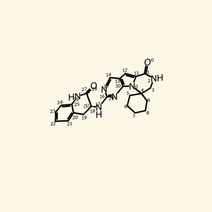 O=C1NCC2(CCCCC2)n2c1cc1cnc(N[C@H]3Cc4ccccc4NC3=O)nc12